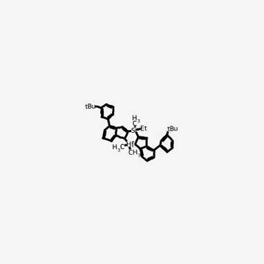 CC[Si]1(C)C2=Cc3c(-c4cccc(C(C)(C)C)c4)cccc3[CH]2[Hf]([CH3])([CH3])[CH]2C1=Cc1c(-c3cccc(C(C)(C)C)c3)cccc12